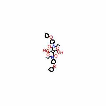 CCCN(C(=O)C1C(C(=O)O)C(C(=O)N(CCC)c2ccc(Oc3ccccc3)cc2)C1C(=O)O)c1ccc(Oc2ccccc2)cc1